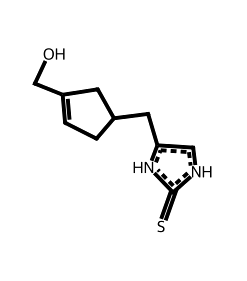 OCC1=CCC(Cc2c[nH]c(=S)[nH]2)C1